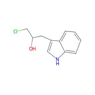 OC(CCl)Cc1c[nH]c2ccccc12